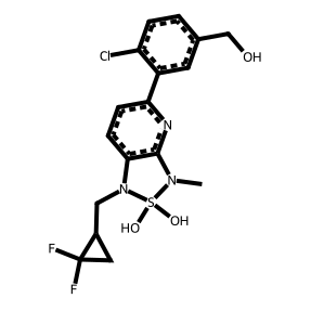 CN1c2nc(-c3cc(CO)ccc3Cl)ccc2N(CC2CC2(F)F)S1(O)O